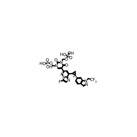 O=c1c(-c2cc(C3C[C@H]3c3ccc4cnn(CC(F)(F)F)c4c3)c3ncc(F)n3n2)cn(COP(=O)(O)O)c(=O)n1COP(=O)(O)O